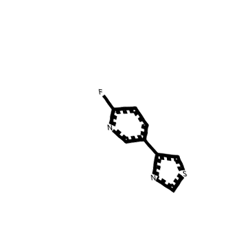 Fc1ccc(-c2cs[c]n2)cn1